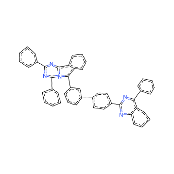 c1ccc(-c2nc(-c3ccccc3)n3c(-c4cccc(-c5ccc(-c6nc(-c7ccccc7)c7ccccc7n6)cc5)c4)c4ccccc4c3n2)cc1